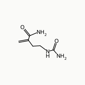 C=C(CCNC(N)=O)C(N)=O